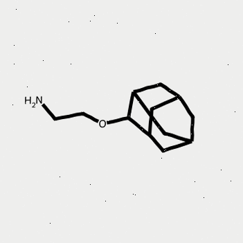 NCCOC1C2CC3CC(C2)CC1C3